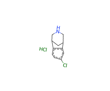 Cl.Clc1ccc2c(c1)C1CNCC2C1